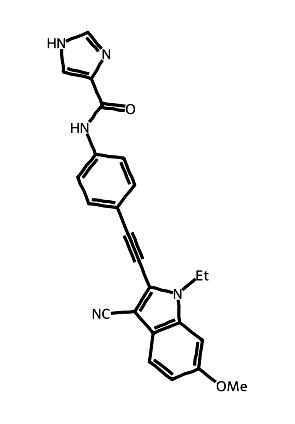 CCn1c(C#Cc2ccc(NC(=O)c3c[nH]cn3)cc2)c(C#N)c2ccc(OC)cc21